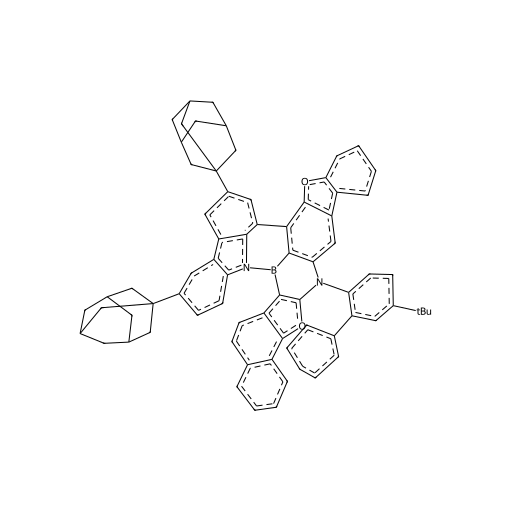 CC(C)(C)c1ccc(N2c3cc4c(oc5ccccc54)c4c3B(c3c2oc2c3ccc3ccccc32)n2c3ccc(C56CC7CC(CC(C7)C5)C6)cc3c3cc(C56CC7CC(CC(C7)C5)C6)cc-4c32)c(-c2ccccc2)c1